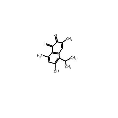 CC1=Cc2c(c(C)cc(O)c2C(C)C)C(=O)C1=O